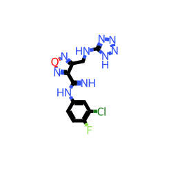 N=C(Nc1ccc(F)c(Cl)c1)c1nonc1CNc1nnn[nH]1